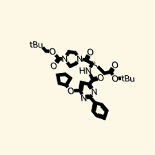 CC(C)(C)COC(=O)N1CCN(C(=O)[C@H](CCC(=O)OC(C)(C)C)NC(=O)c2cc(OC3CCCC3)nc(-c3ccccc3)n2)CC1